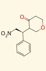 O=C1CCOCC1[C@H](C[N+](=O)[O-])c1ccccc1